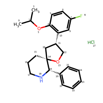 CC(C)Oc1ccc(F)cc1[C@@H]1CO[C@]2(CCCN[C@H]2c2ccccc2)C1.Cl